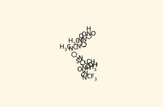 CN(C[C@H]1CC[C@H](c2nc3cc(C(C)(C)O)c(NC(=O)c4ccnc(C(F)(F)F)n4)cc3s2)CC1)C1CCN(c2cccc3c2n(C)c(=O)n3C2CCC(=O)NC2=O)CC1